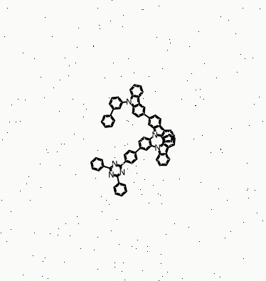 c1ccc(-c2cccc(-n3c4ccccc4c4cc(-c5ccc6c7ccccc7n(-c7ccc(-c8ccc(-c9nc(-c%10ccccc%10)nc(-c%10ccccc%10)n9)cc8)cc7-n7c8ccccc8c8ccccc87)c6c5)ccc43)c2)cc1